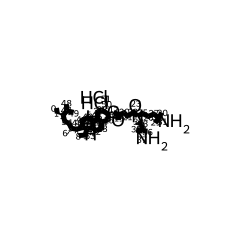 CC[C@H](CC[C@@H](C)[C@H]1CC[C@H]2[C@@H]3CC=C4C[C@@H](OC(=O)CCC(=O)N(CCCC(C)(C)N)CCC(C)(C)N)CC[C@]4(C)[C@H]3CC[C@]12C)C(C)C.Cl.Cl